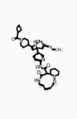 C=C/N=C(/N)CC1(c2ccc(NC(=O)C3C(=O)N/C=C/C=C\C=N/N4CCCCC34)nc2)C=C(C2CCN(C(=O)C3CCC3)CC2)N1C